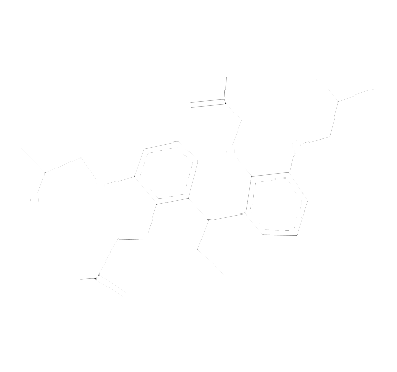 C=C(C)COc1c(OCC(C)O)cccc1C(CC)c1cccc(OCC(C)O)c1OCC(=C)C